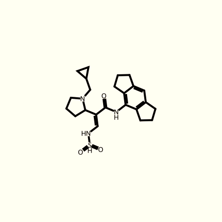 O=C(Nc1c2c(cc3c1CCC3)CCC2)C(=CN[SH](=O)=O)C1CCCN1CC1CC1